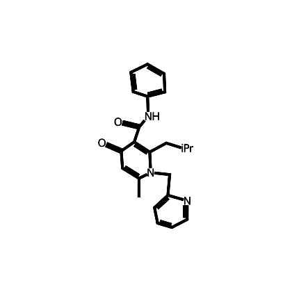 Cc1cc(=O)c(C(=O)Nc2ccccc2)c(CC(C)C)n1Cc1ccccn1